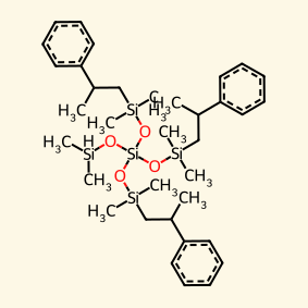 CC(C[Si](C)(C)O[Si](O[SiH](C)C)(O[Si](C)(C)CC(C)c1ccccc1)O[Si](C)(C)CC(C)c1ccccc1)c1ccccc1